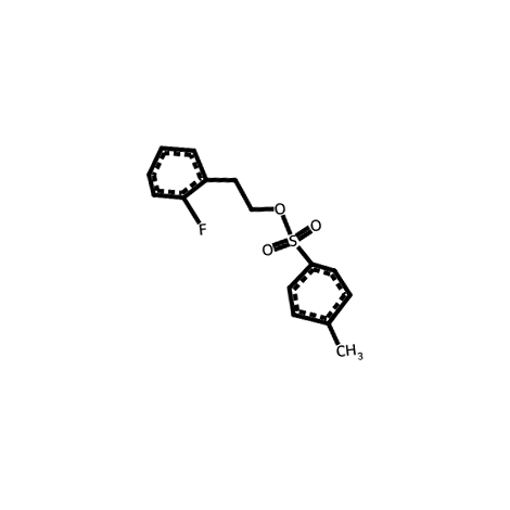 Cc1ccc(S(=O)(=O)OCCc2ccccc2F)cc1